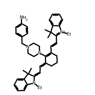 CCN1/C(=C/C=C2\CCCC(/C=C/C3=[N+](CC)c4ccccc4C3(C)C)=C2N2CCN(Cc3ccc(N)cc3)CC2)C(C)(C)c2ccccc21